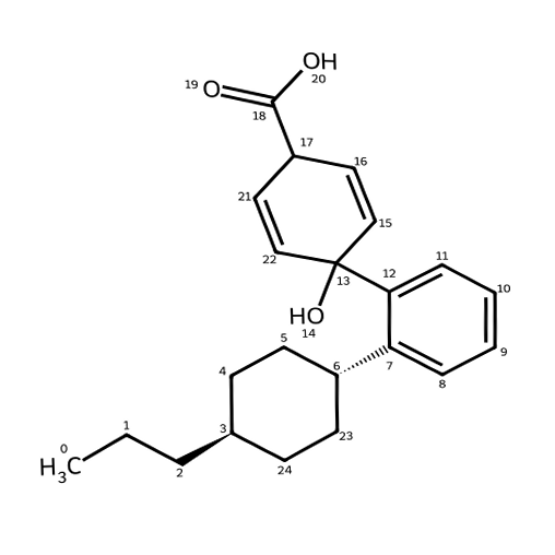 CCC[C@H]1CC[C@H](c2ccccc2C2(O)C=CC(C(=O)O)C=C2)CC1